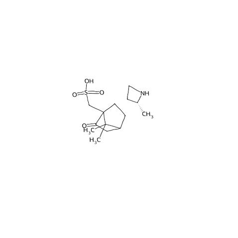 CC1(C)C2CCC1(CS(=O)(=O)O)C(=O)C2.C[C@@H]1CCN1